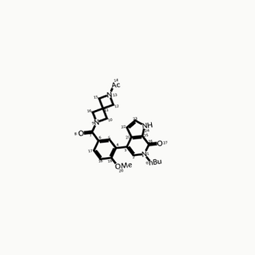 CCCCn1cc(-c2cc(C(=O)N3CC4(CN(C(C)=O)C4)C3)ccc2OC)c2cc[nH]c2c1=O